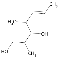 CC=CC(C)C(O)C(C)CO